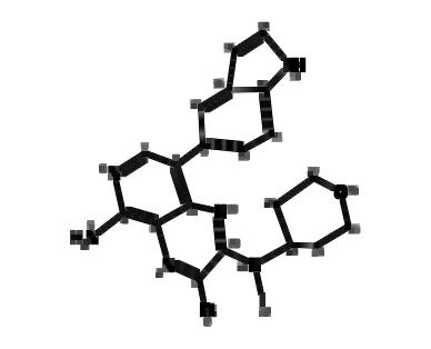 CCc1nc2c(N)ncc(-c3ccc4[nH]ccc4c3)c2nc1N(I)C1CCOCC1